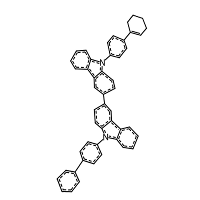 C1=C(c2ccc(-n3c4ccccc4c4cc(-c5ccc6c(c5)c5ccccc5n6-c5ccc(-c6ccccc6)cc5)ccc43)cc2)CCCC1